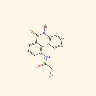 CCN(C(=O)c1cccc(NC(=O)CC(C)=O)c1)c1ccccc1